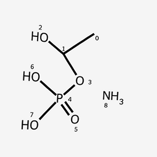 CC(O)OP(=O)(O)O.N